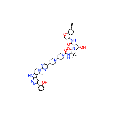 C#Cc1ccc2c(c1)OCC[C@@H]2NC(=O)[C@@H]1C[C@@H](O)CN1C(=O)[C@@H](NC(=O)N1CCC(N2CCC(c3cnc(N4CCc5[nH]c6nnc(-c7ccccc7O)cc6c5[C@H]4C)nc3)CC2)CC1)C(C)(C)C